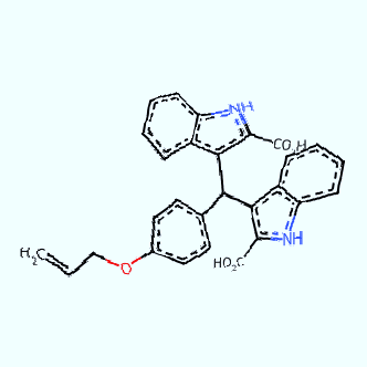 C=CCOc1ccc(C(c2c(C(=O)O)[nH]c3ccccc23)c2c(C(=O)O)[nH]c3ccccc23)cc1